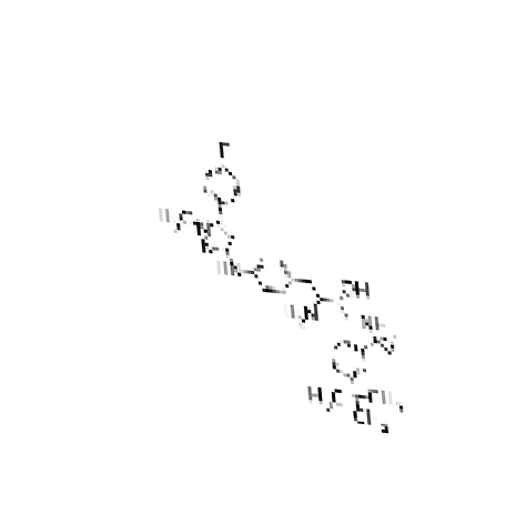 Cn1nc(Nc2ccc(C[C@H](N)[C@H](O)CNC3(c4cccc(C(C)(C)C)c4)CC3)cc2)cc1-c1ccc(F)cc1